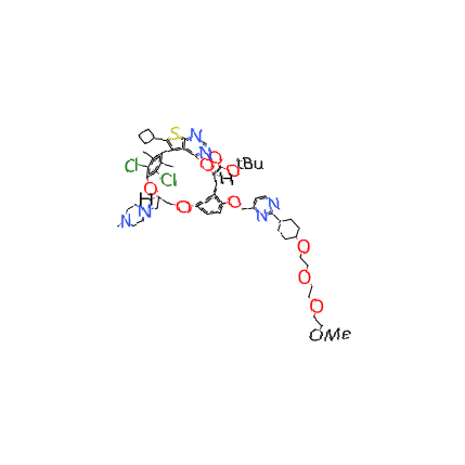 COCCOCCOCCOC1CCC(c2nccc(COc3ccc4cc3C[C@H](C(=O)OC(C)(C)C)Oc3ncnc5sc(C6CCC6)c(c35)-c3c(C)c(Cl)c(c(Cl)c3C)O[C@H](CN3CCN(C)CC3)CO4)n2)CC1